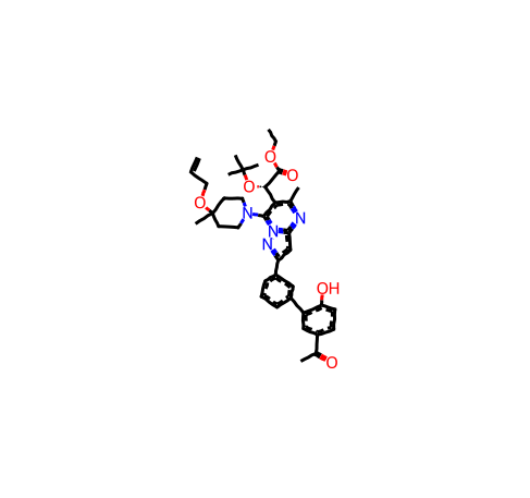 C=CCOC1(C)CCN(c2c([C@H](OC(C)(C)C)C(=O)OCC)c(C)nc3cc(-c4cccc(-c5cc(C(C)=O)ccc5O)c4)nn23)CC1